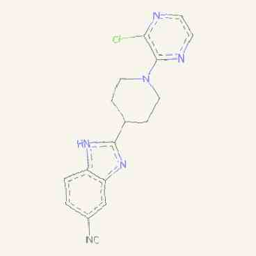 [C-]#[N+]c1ccc2[nH]c(C3CCN(c4nccnc4Cl)CC3)nc2c1